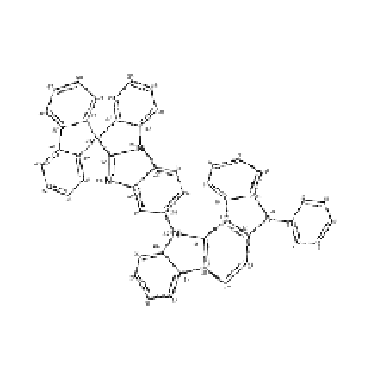 c1ccc(-n2c3ccccc3c3c2ccc2c4ccccc4n(-c4ccc5c(c4)nc4n5-c5ccccc5C45c4ccccc4-c4ccccc45)c23)cc1